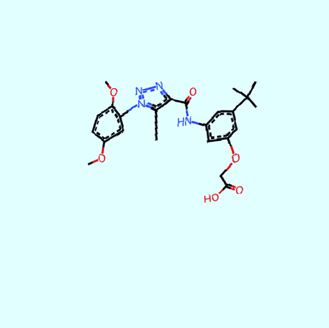 COc1ccc(OC)c(-n2nnc(C(=O)Nc3cc(OCC(=O)O)cc(C(C)(C)C)c3)c2C)c1